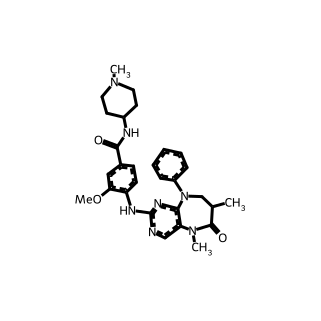 COc1cc(C(=O)NC2CCN(C)CC2)ccc1Nc1ncc2c(n1)N(c1ccccc1)CC(C)C(=O)N2C